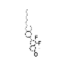 CCCCCCC1CCC2CC(c3cc4ccc(OC)c(F)c4c(F)c3F)CCC2C1